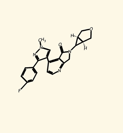 Cn1cc(-c2ccnc3c2C(=O)N(C2[C@H]4COC[C@@H]24)C3)c(-c2ccc(F)cc2)n1